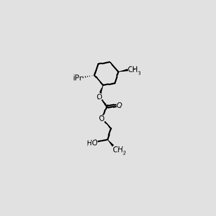 CC(C)[C@@H]1CC[C@@H](C)C[C@H]1OC(=O)OC[C@@H](C)O